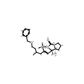 CC(CCOCc1ccccc1)C/C(=C/[C@]1(C)OC(=O)N2CCC[C@H]21)[Si](C)(C)C